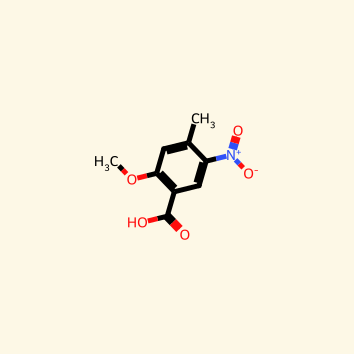 COc1cc(C)c([N+](=O)[O-])cc1C(=O)O